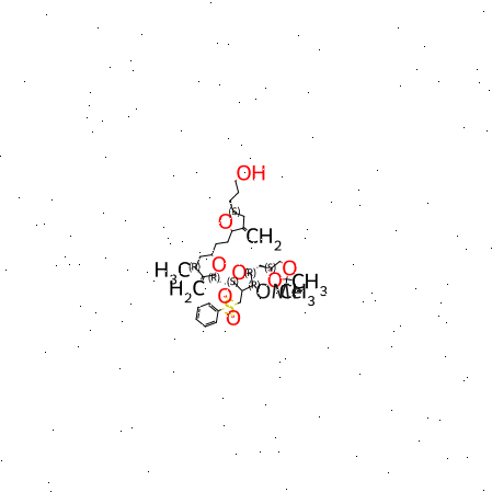 C=C1C[C@H](CCCO)OC1CCC1C[C@@H](C)C(=C)[C@@H](C[C@@H]2O[C@H](C[C@H]3COC(C)(C)O3)[C@H](OC)C2CS(=O)(=O)c2ccccc2)O1